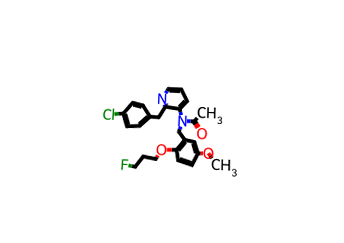 COc1ccc(OCCCF)c(CN(C(C)=O)c2cccnc2Cc2ccc(Cl)cc2)c1